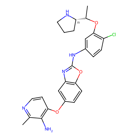 Cc1nccc(Oc2ccc3oc(Nc4ccc(Cl)c(OC(C)[C@@H]5CCCN5)c4)nc3c2)c1N